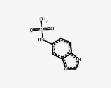 CS(=O)(=O)Nc1ccc2ncoc2c1